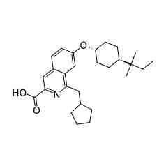 CCC(C)(C)[C@H]1CC[C@H](Oc2ccc3cc(C(=O)O)nc(CC4CCCC4)c3c2)CC1